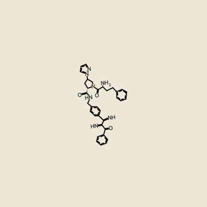 N=C(C(=N)c1ccc(CNC(=O)[C@@H]2CC(n3cccn3)CN2C(=O)[C@H](N)CCc2ccccc2)cc1)C(=O)c1ccccc1